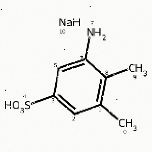 Cc1cc(S(=O)(=O)O)cc(N)c1C.[NaH]